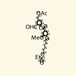 CCC1(COCCCCCCOc2ccc(C(=O)Oc3ccc(CCOC(C)=O)cc3C=O)cc2OC)COC1